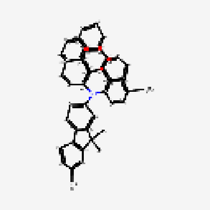 CC(C)(C)c1ccc(N(c2ccc3c(c2)C(C)(C)c2cc(C(C)(C)C)ccc2-3)c2ccc3ccccc3c2-c2ccccc2-c2ccccc2)c(-c2ccccc2)c1